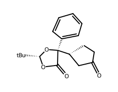 CC(C)(C)[C@H]1OC(=O)[C@](c2ccccc2)([C@@H]2CCC(=O)C2)O1